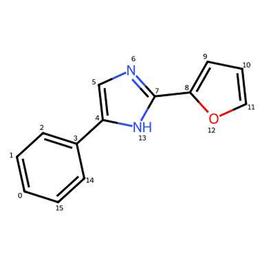 c1ccc(-c2cnc(-c3ccco3)[nH]2)cc1